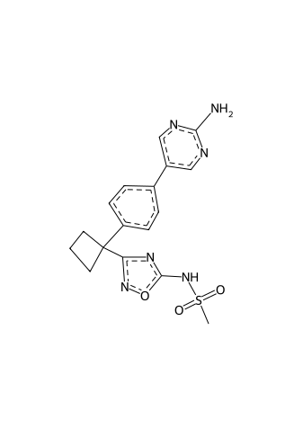 CS(=O)(=O)Nc1nc(C2(c3ccc(-c4cnc(N)nc4)cc3)CCC2)no1